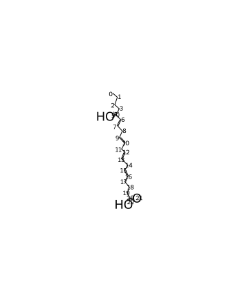 CCCC[C@@H](O)C=CCC=CCC=CCC=CCCCC(=O)O